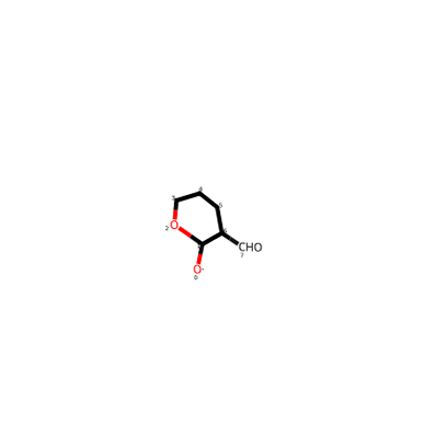 [O]C1OCCCC1C=O